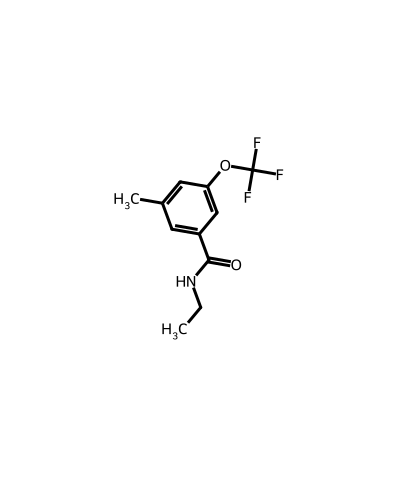 CCNC(=O)c1cc(C)cc(OC(F)(F)F)c1